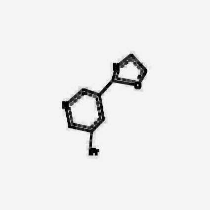 CC(C)c1cncc(-c2ncco2)c1